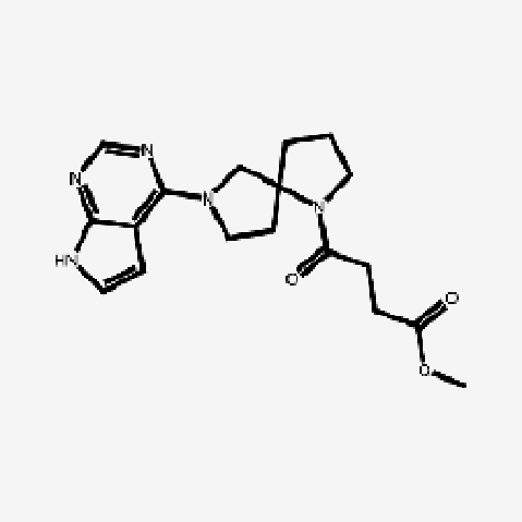 COC(=O)CCC(=O)N1CCCC12CCN(c1ncnc3[nH]ccc13)C2